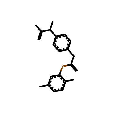 C=C(Cc1ccc(C(C)C(=C)C)cc1)Sc1cc(C)ccc1C